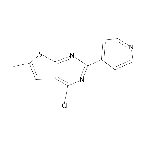 Cc1cc2c(Cl)nc(-c3ccncc3)nc2s1